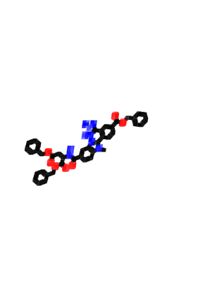 Cn1c(-c2ccc(C(=O)OCc3ccccc3)cc2C(=N)N)nc2cc(C(=O)NC(CC(=O)OCc3ccccc3)C(=O)OCc3ccccc3)ccc21